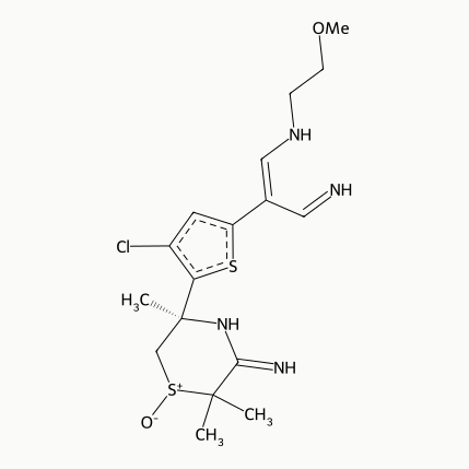 COCCN/C=C(\C=N)c1cc(Cl)c([C@]2(C)C[S+]([O-])C(C)(C)C(=N)N2)s1